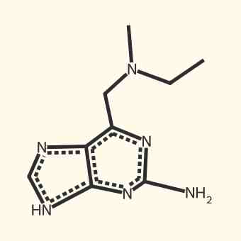 CCN(C)Cc1nc(N)nc2[nH]cnc12